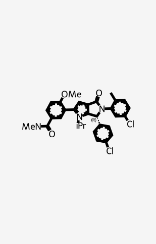 CNC(=O)c1ccc(OC)c(-c2cc3c(n2C(C)C)[C@@H](c2ccc(Cl)cc2)N(c2cc(Cl)ccc2C)C3=O)c1